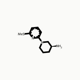 CSc1cccc(N2CCC[C@H](N)C2)n1